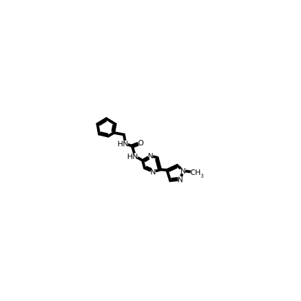 Cn1cc(-c2cnc(NC(=O)NCc3ccccc3)cn2)cn1